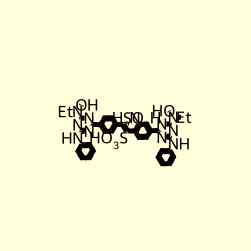 CCN(O)c1nc(Nc2ccccc2)nc(-c2ccc(C(=C(c3ccc(-c4nc(Nc5ccccc5)nc(N(O)CC)n4)cc3N)S(=O)(=O)O)S(=O)(=O)O)cc2)n1